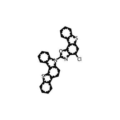 Clc1cc2sc3ccccc3c2c2oc(-n3c4ccccc4c4c5sc6ccccc6c5ccc43)nc12